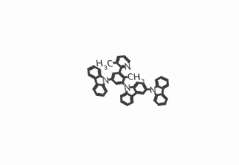 Cc1cccnc1-c1cc(-n2c3ccccc3c3ccccc32)cc(-n2c3ccccc3c3cc(-n4c5ccccc5c5ccccc54)ccc32)c1C